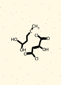 CCCCC(O)O.O=C(Cl)/C=C(\O)C(=O)Cl